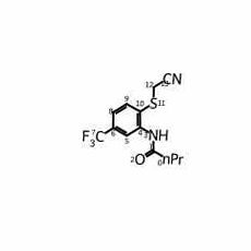 CCCC(=O)Nc1cc(C(F)(F)F)ccc1SCC#N